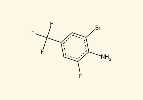 Nc1c(F)cc(C(F)(F)F)cc1Br